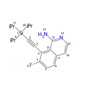 CC(C)[Si](C#Cc1c(F)ccc2ccnc(N)c12)(C(C)C)C(C)C